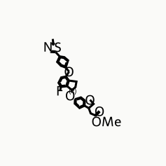 COC(=O)CC1COc2cc(O[C@@H]3CCc4c(Oc5ccc(-c6cnc(C)s6)cc5)ccc(F)c43)ccc21